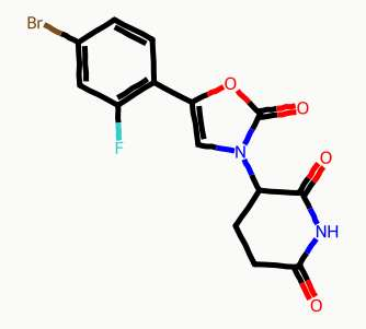 O=C1CCC(n2cc(-c3ccc(Br)cc3F)oc2=O)C(=O)N1